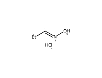 CCC=NO.Cl